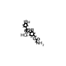 CC(C)(C)c1ccc(-c2nc(-c3ccc(COC(=O)CN)cc3Cl)no2)cc1.Cl